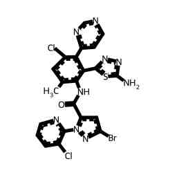 Cc1cc(Cl)c(-c2ccncn2)c(-c2nnc(N)s2)c1NC(=O)c1cc(Br)nn1-c1ncccc1Cl